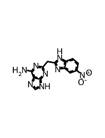 Nc1nc(Cc2nc3cc([N+](=O)[O-])ccc3[nH]2)nc2[nH]cnc12